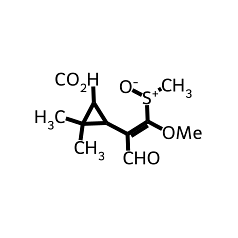 COC(=C(C=O)C1C(C(=O)O)C1(C)C)[S+](C)[O-]